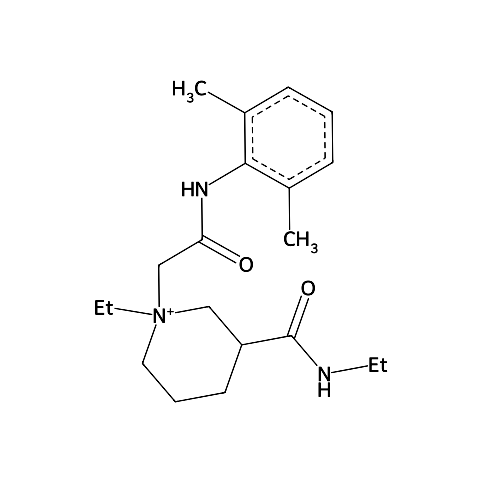 CCNC(=O)C1CCC[N+](CC)(CC(=O)Nc2c(C)cccc2C)C1